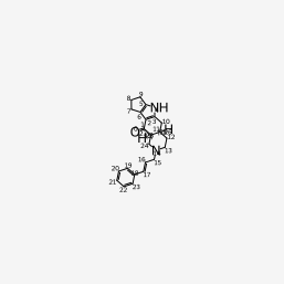 O=C1c2c([nH]c3c2CCC3)C[C@@H]2CCN(CC=Cc3ccccc3)C[C@@H]12